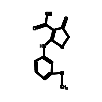 COc1cccc(NC2=C(C(=O)O)C(=O)CO2)c1